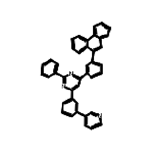 c1ccc(-c2nc(-c3cccc(-c4cccnc4)c3)cc(-c3cccc(-c4cc5ccccc5c5ccccc45)c3)n2)cc1